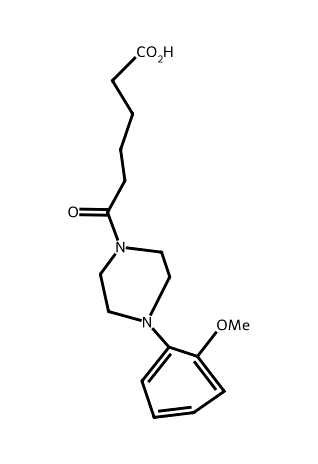 COc1ccccc1N1CCN(C(=O)CCCCC(=O)O)CC1